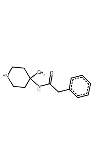 CC1(NC(=O)Cc2ccccc2)CCNCC1